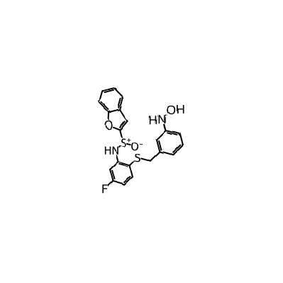 [O-][S+](Nc1cc(F)ccc1SCc1cccc(NO)c1)c1cc2ccccc2o1